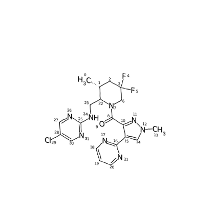 C[C@@H]1CC(F)(F)CN(C(=O)c2nn(C)cc2-c2ncccn2)C1CNc1ncc(Cl)cn1